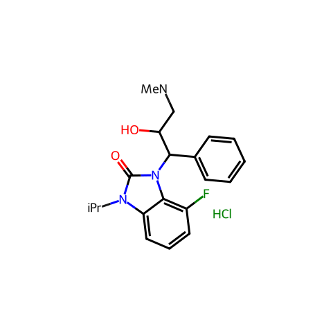 CNCC(O)C(c1ccccc1)n1c(=O)n(C(C)C)c2cccc(F)c21.Cl